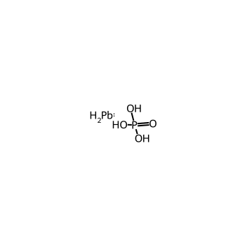 O=P(O)(O)O.[PbH2]